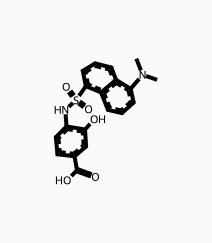 CN(C)c1cccc2c(S(=O)(=O)Nc3ccc(C(=O)O)cc3O)cccc12